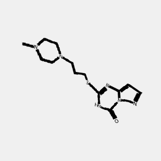 CN1CCN(CCCSc2nc3ccnn3c(=O)[nH]2)CC1